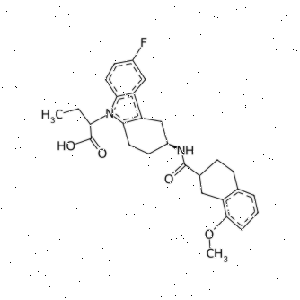 CCC(C(=O)O)n1c2c(c3cc(F)ccc31)C[C@@H](NC(=O)C1CCc3cccc(OC)c3C1)CC2